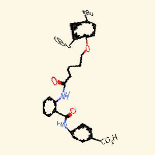 CC(C)(C)c1ccc(OCCCCC(=O)Nc2ccccc2C(=O)Nc2ccc(C(=O)O)cc2)c(C(C)(C)C)c1